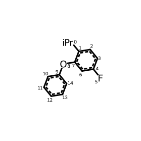 CC(C)c1ccc(F)cc1Oc1ccccc1